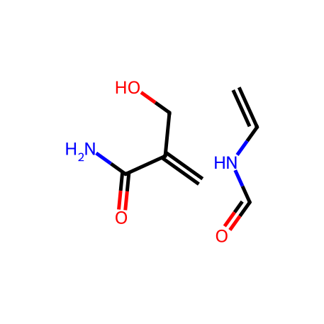 C=C(CO)C(N)=O.C=CNC=O